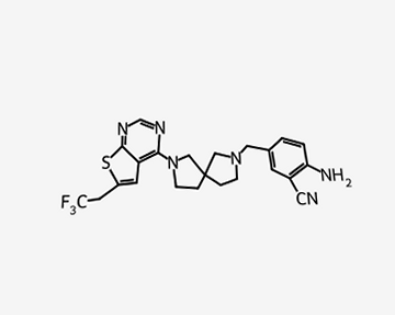 N#Cc1cc(CN2CCC3(CCN(c4ncnc5sc(CC(F)(F)F)cc45)C3)C2)ccc1N